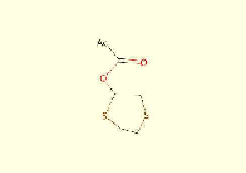 CC(=O)C(=O)OC1CSCCS1